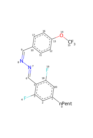 CCCCCc1cc(F)c(/C=N/N=C\c2ccc(OC(F)(F)F)cc2)c(F)c1